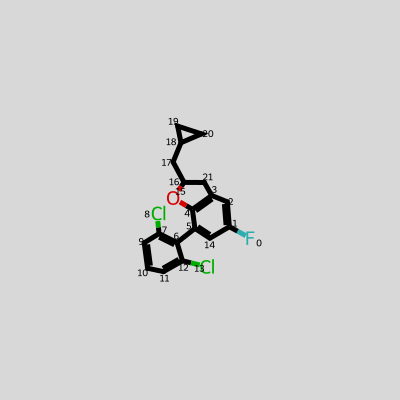 Fc1cc2c(c(-c3c(Cl)cccc3Cl)c1)OC(CC1CC1)C2